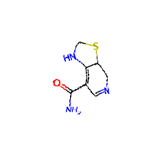 NC(=O)C1=C2NCSC2CN=C1